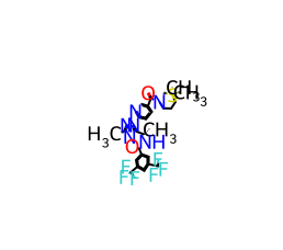 Cc1nc([C@H](C)NC(=O)c2cc(C(F)(F)F)cc(C(F)(F)F)c2)n(-c2ccc(C(=O)N3CCCS(C)(C)C3)cn2)n1